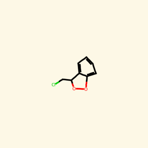 ClCC1OOc2ccccc21